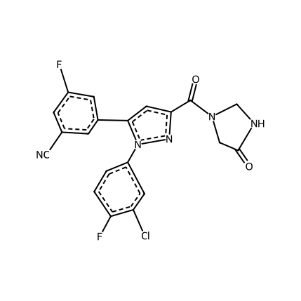 N#Cc1cc(F)cc(-c2cc(C(=O)N3CNC(=O)C3)nn2-c2ccc(F)c(Cl)c2)c1